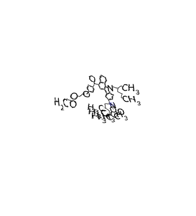 C=CC(=O)OCCOc1ccc(C(=O)c2cc3c4cc(/C(CC(C)CC(C)(C)C)=N/OC(C)=O)ccc4n(CC(CC)CCCC)c3c3ccccc23)cc1